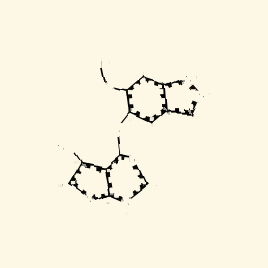 CC(C)Oc1cc2[nH]ncc2cc1Nc1ncnc2[nH]cc(C#N)c12